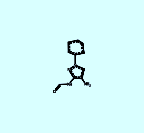 Nc1cn(-c2ccccc2)nc1NC=O